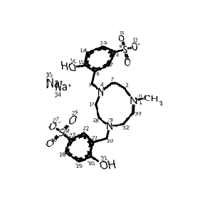 CN1CCN(Cc2cc(S(=O)(=O)[O-])ccc2O)CCN(Cc2cc(S(=O)(=O)[O-])ccc2O)CC1.[Na+].[Na+]